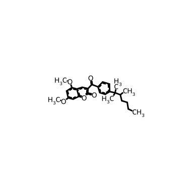 CCCCC(C)C(C)(C)c1ccc(C(=O)c2cc3c(OC)cc(OC)cc3oc2=O)cc1